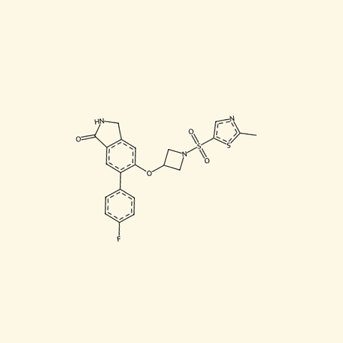 Cc1ncc(S(=O)(=O)N2CC(Oc3cc4c(cc3-c3ccc(F)cc3)C(=O)NC4)C2)s1